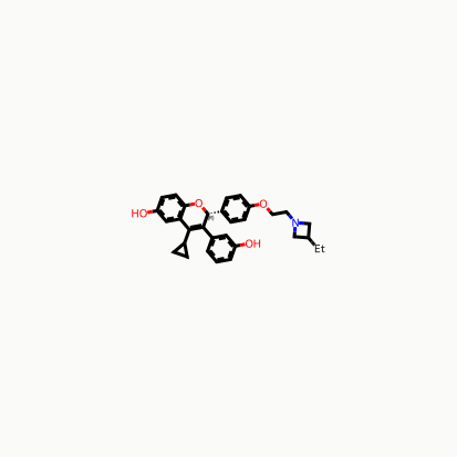 CCC1CN(CCOc2ccc([C@H]3Oc4ccc(O)cc4C(C4CC4)=C3c3cccc(O)c3)cc2)C1